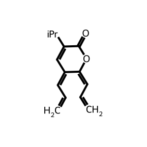 C=C/C=c1/cc(C(C)C)c(=O)o/c1=C/C=C